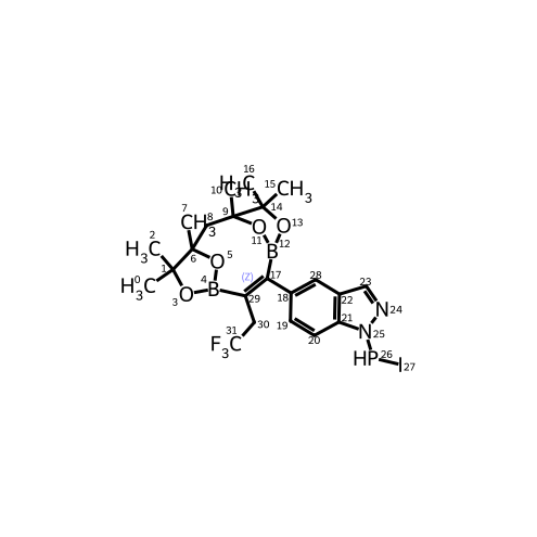 CC1(C)OB2OC1(C)CC1(C)OB(OC1(C)C)/C(c1ccc3c(cnn3PI)c1)=C\2CC(F)(F)F